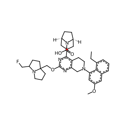 CCc1cccc2cc(OC)cc(N3CCc4c(nc(OCC56CCCN5C(CF)CC6)nc4N4C[C@H]5CC[C@@H](C4)N5C(=O)O)C3)c12